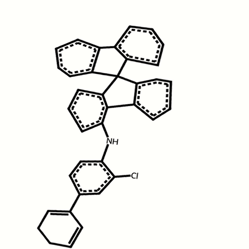 Clc1cc(C2=CCCC=C2)ccc1Nc1cccc2c1-c1ccccc1C21c2ccccc2-c2ccccc21